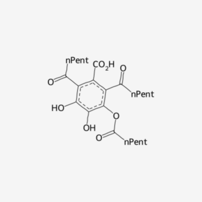 CCCCCC(=O)Oc1c(O)c(O)c(C(=O)CCCCC)c(C(=O)O)c1C(=O)CCCCC